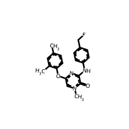 Cc1ccc(Oc2cn(C)c(=O)c(Nc3ccc(CF)cc3)n2)c(C)c1